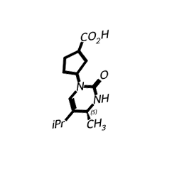 CC(C)C1=CN(C2CCC(C(=O)O)C2)C(=O)N[C@H]1C